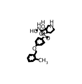 Cc1ccccc1COc1ccc(S(=O)(=O)C2CCNCC2(O)C(=O)NO)cc1